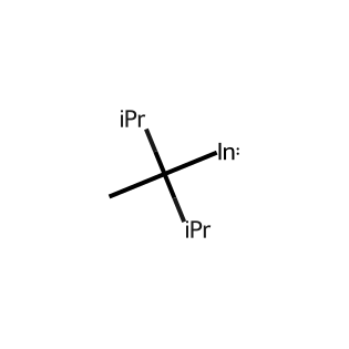 CC(C)[C](C)([In])C(C)C